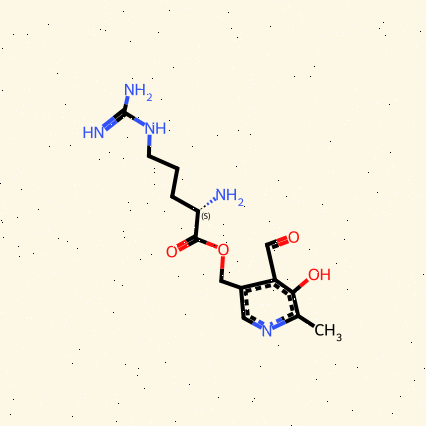 Cc1ncc(COC(=O)[C@@H](N)CCCNC(=N)N)c(C=O)c1O